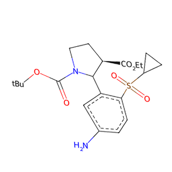 CCOC(=O)[C@@H]1CCN(C(=O)OC(C)(C)C)C1c1cc(N)ccc1S(=O)(=O)C1CC1